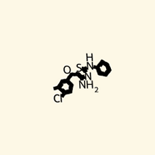 Cc1cc(C(=O)c2sc(Nc3ccccc3)nc2N)ccc1Cl